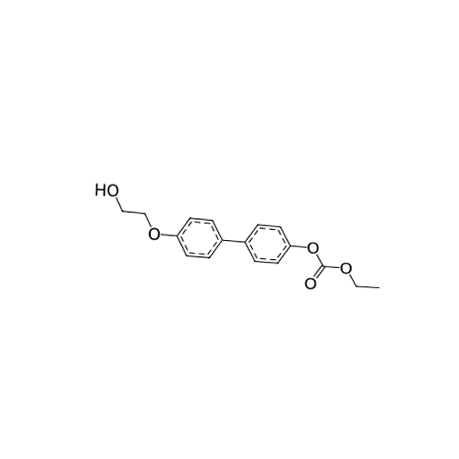 CCOC(=O)Oc1ccc(-c2ccc(OCCO)cc2)cc1